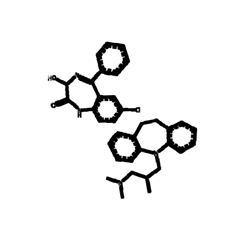 CC(CN(C)C)CN1c2ccccc2CCc2ccccc21.O=C1Nc2ccc(Cl)cc2C(c2ccccc2)=NC1O